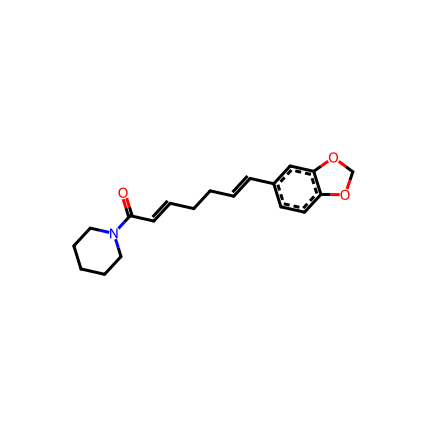 O=C(/C=C/CC/C=C/c1ccc2c(c1)OCO2)N1CCCCC1